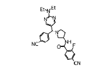 CCN(CC)c1ncc([C@@H](c2ccc(C#N)cc2)N2CCC(NC(=O)c3ccc(C#N)cc3F)C2)cn1